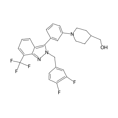 OCC1CCN(c2cccc(-c3c4cccc(C(F)(F)F)c4nn3Cc3ccc(F)c(F)c3)c2)CC1